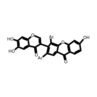 CC(=O)c1cc2c(=O)c3ccc(O)cc3oc2c(C(C)=O)c1-c1coc2cc(O)c(O)cc2c1=O